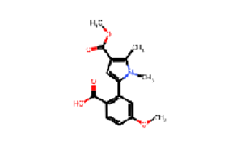 COC(=O)c1cc(-c2cc(OC)ccc2C(=O)O)n(C)c1C